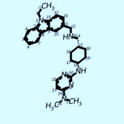 CCn1c2ccccc2c2cc(CNC[C@H]3CC[C@@H](Nc4nccc(N(C)C)n4)CC3)ccc21